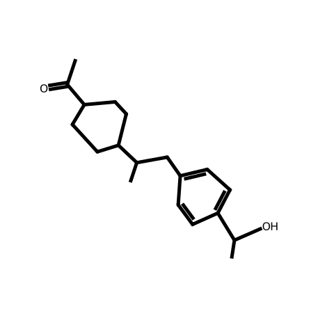 CC(=O)C1CCC(C(C)Cc2ccc(C(C)O)cc2)CC1